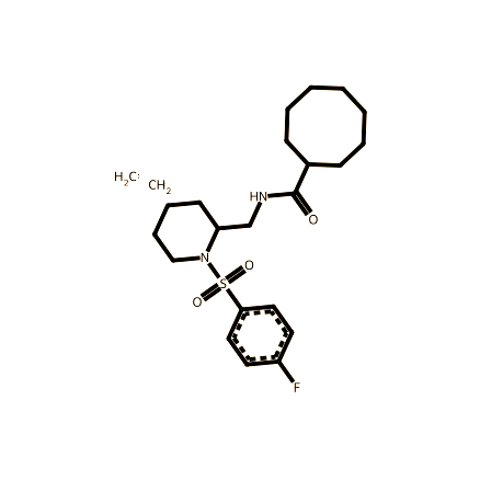 O=C(NCC1CCCCN1S(=O)(=O)c1ccc(F)cc1)[C]1CCCCCCC1.[CH2].[CH2]